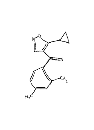 Cc1ccc(C(=S)c2cnoc2C2CC2)c(C)c1